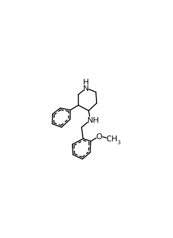 COc1ccccc1CNC1CCNCC1c1ccccc1